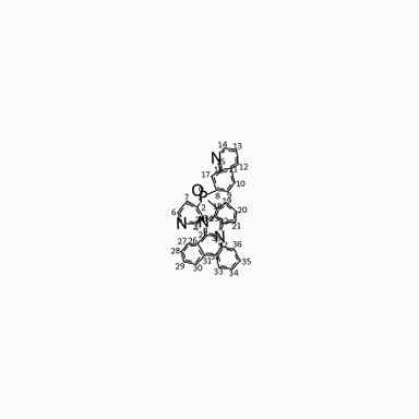 O=P(c1ccncc1)(c1ccc2cccnc2c1)c1cccc2c1nc1c3ccccc3c3ccccc3n21